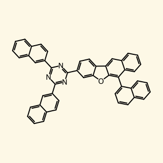 c1ccc2cc(-c3nc(-c4ccc5ccccc5c4)nc(-c4ccc5c(c4)oc4c(-c6cccc7ccccc67)c6ccccc6cc45)n3)ccc2c1